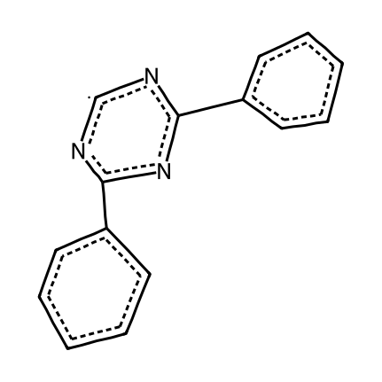 [c]1nc(-c2ccccc2)nc(-c2ccccc2)n1